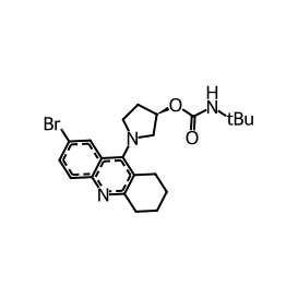 CC(C)(C)NC(=O)O[C@@H]1CCN(c2c3c(nc4ccc(Br)cc24)CCCC3)C1